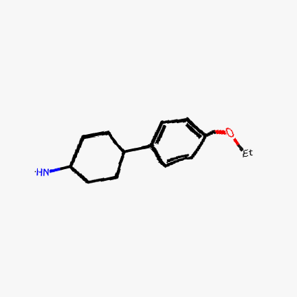 CCOc1ccc(C2CCC([NH])CC2)cc1